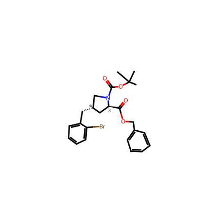 CC(C)(C)OC(=O)N1C[C@@H](Cc2ccccc2Br)C[C@@H]1C(=O)OCc1ccccc1